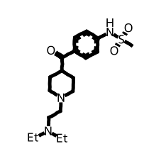 CCN(CC)CCN1CCC(C(=O)c2ccc(NS(C)(=O)=O)cc2)CC1